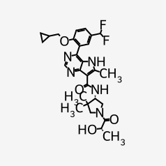 Cc1[nH]c2c(-c3cc(C(F)F)ccc3OCC3CC3)ncnc2c1C(=O)N[C@@H]1CN(C(=O)[C@H](C)O)CC1(C)C